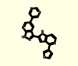 c1ncc(-c2cnc3[nH]nc(-c4cc5c(-c6ccoc6)nccc5[nH]4)c3c2)cn1